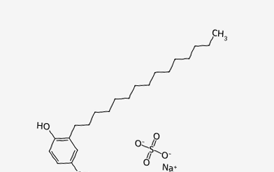 CCCCCCCCCCCCCCCc1cc(O)ccc1O.O=S(=O)([O-])[O-].[Na+].[Na+]